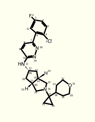 Fc1ccc(Cl)c(-c2ccc(N[C@@H]3C[C@@H]4CN(C5(C6CCOCC6)CC5)C[C@@H]4C3)nn2)c1